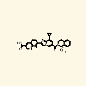 C[C@@H]1c2ccccc2CCN1C(=O)c1cc(C2CC2)c2nc(-c3ccc4c(c3F)OCC(C(N)=O)=C4)cn2c1